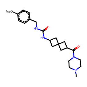 COc1ccc(CNC(=O)NC2CC3(C2)CC(C(=O)N2CCN(C)CC2)C3)cc1